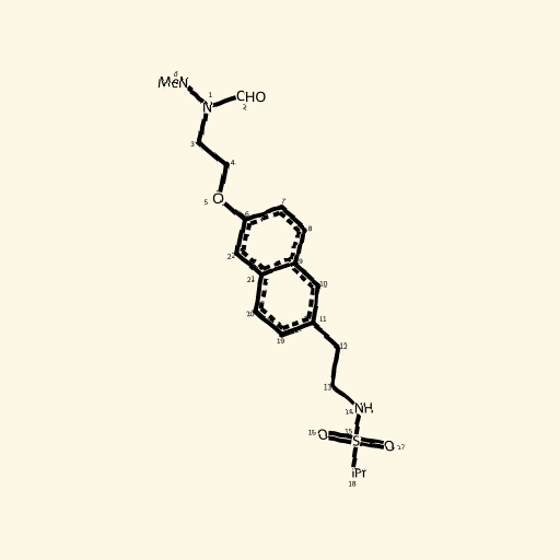 CNN(C=O)CCOc1ccc2cc(CCNS(=O)(=O)C(C)C)ccc2c1